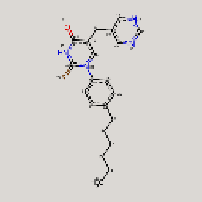 CCCCCCc1ccc(-n2cc(Cc3cncnc3)c(=O)[nH]c2=S)cc1